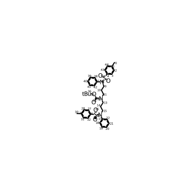 Cc1ccc(S(=O)(=O)N(CCCN(CCCN(c2ccccc2)S(=O)(=O)c2ccc(C)cc2)C(=O)OC(C)(C)C)c2ccccc2)cc1